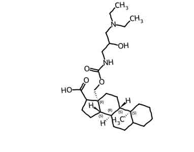 CCN(CC)CC(O)CNC(=O)OC[C@]12CC[C@H]3[C@@H](CCC4CCCC[C@@]43C)[C@@H]1CCC2C(=O)O